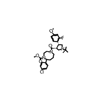 COC(=O)N1CCN(C(=O)[C@@H]2CN(C(C)(C)C)C[C@H]2c2ccc(OC)cc2F)CCCC1c1ccc(Cl)cc1